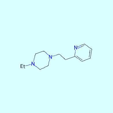 CCN1CCN(CCc2ccccn2)CC1